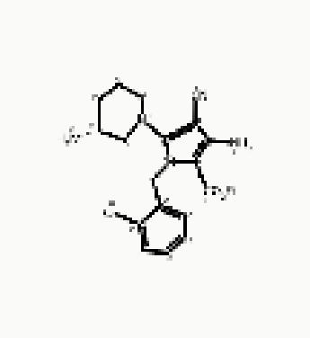 CCOC(=O)c1c(N)c(C#N)c(N2CCC[C@@H](N)C2)n1Cc1ccccc1Cl